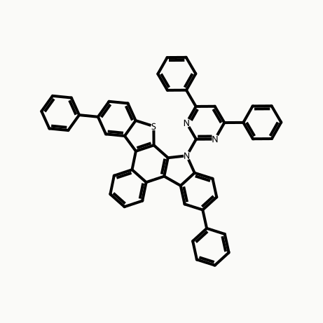 c1ccc(-c2ccc3sc4c(c3c2)c2ccccc2c2c3cc(-c5ccccc5)ccc3n(-c3nc(-c5ccccc5)cc(-c5ccccc5)n3)c42)cc1